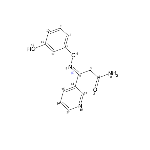 NC(=O)C/C(=N\Oc1cccc(O)c1)c1cccnc1